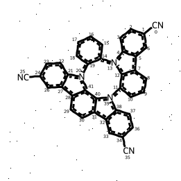 N#Cc1ccc2c(c1)c1cccc3c1n2c1ccccc1n1c2ccc(C#N)cc2c2ccc4c5cc(C#N)ccc5n3c4c21